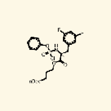 CCCCCCCCCCCCCOC(=O)[C@H](Cc1cc(F)cc(F)c1)NP(=O)(Cl)Oc1ccccc1